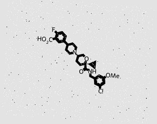 COc1cc(Cl)cc(CNC(=O)[C@@]2(C3CC3)CC[C@@H](N3CCC(c4ccc(F)c(C(=O)O)c4)CC3)CO2)c1